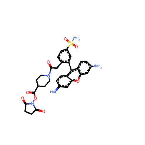 N=c1ccc2c(-c3cc(S(N)(=O)=O)ccc3CC(=O)N3CCC(C(=O)ON4C(=O)CCC4=O)CC3)c3ccc(N)cc3oc-2c1